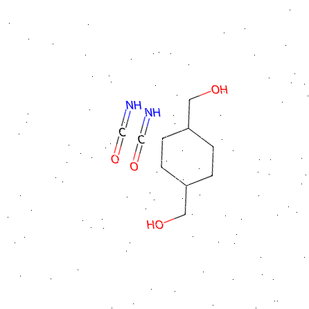 N=C=O.N=C=O.OCC1CCC(CO)CC1